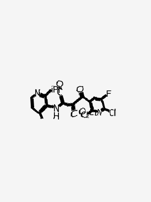 CCOC(=O)C(C(=O)c1cc(F)c(Cl)nc1Cl)C(=C=O)Nc1c(C)ccnc1C(C)C